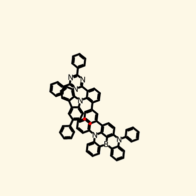 c1ccc(-c2ccc3c(c2)c2ccccc2n3-c2c(-c3cccc(-c4ccc5c6c4N(c4ccccc4)c4ccccc4B6c4ccccc4N5c4ccccc4)c3)cccc2-c2nc(-c3ccccc3)nc(-c3ccccc3)n2)cc1